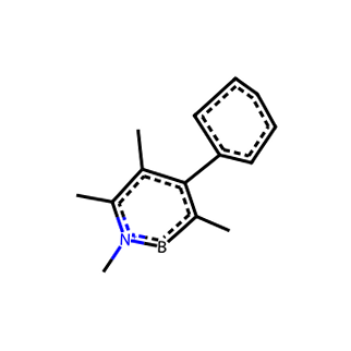 Cc1b[n+](C)c(C)c(C)c1-c1ccccc1